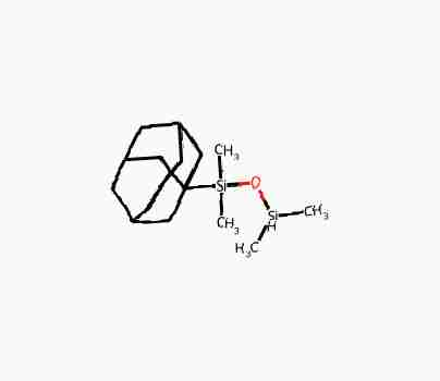 C[SiH](C)O[Si](C)(C)C12CC3CC(CC(C3)C1)C2